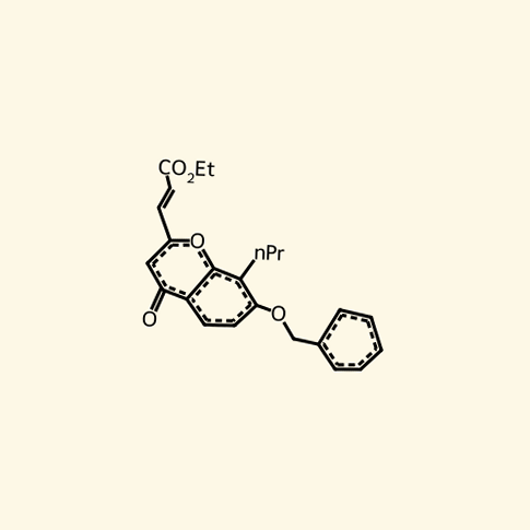 CCCc1c(OCc2ccccc2)ccc2c(=O)cc(C=CC(=O)OCC)oc12